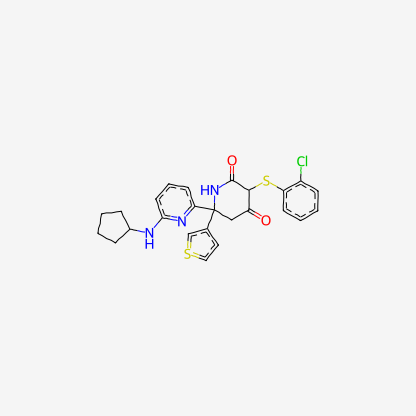 O=C1CC(c2ccsc2)(c2cccc(NC3CCCC3)n2)NC(=O)C1Sc1ccccc1Cl